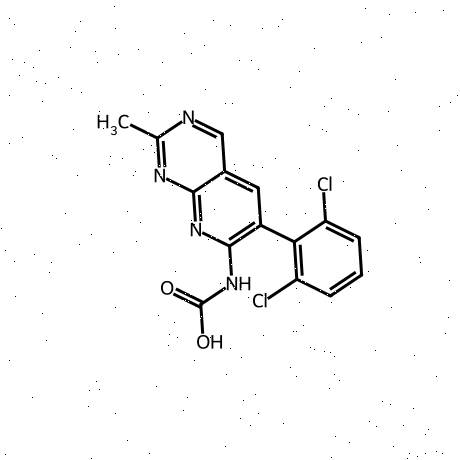 Cc1ncc2cc(-c3c(Cl)cccc3Cl)c(NC(=O)O)nc2n1